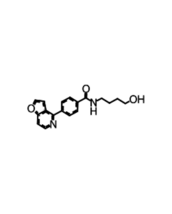 O=C(NCCCCO)c1ccc(-c2nccc3occc23)cc1